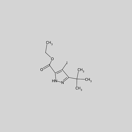 CCOC(=O)c1[nH]nc(C(C)(C)C)c1I